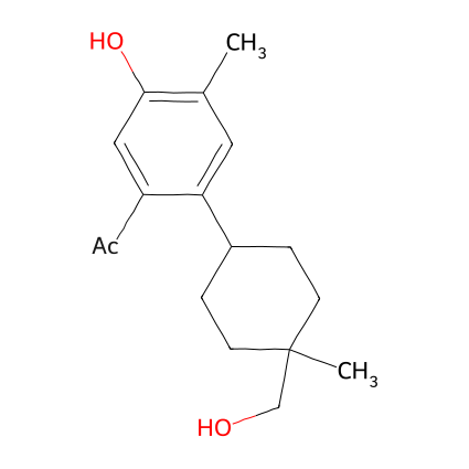 CC(=O)c1cc(O)c(C)cc1C1CCC(C)(CO)CC1